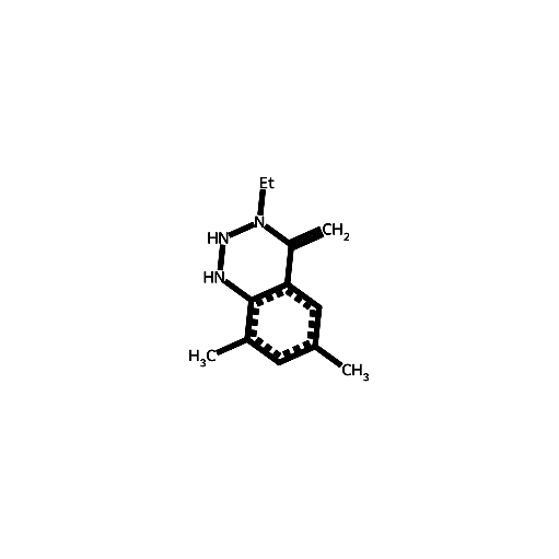 C=C1c2cc(C)cc(C)c2NNN1CC